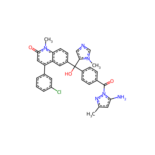 Cc1cc(N)n(C(=O)c2ccc(C(O)(c3ccc4c(c3)c(-c3cccc(Cl)c3)cc(=O)n4C)c3cncn3C)cc2)n1